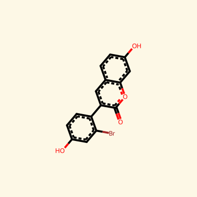 O=c1oc2cc(O)ccc2cc1-c1ccc(O)cc1Br